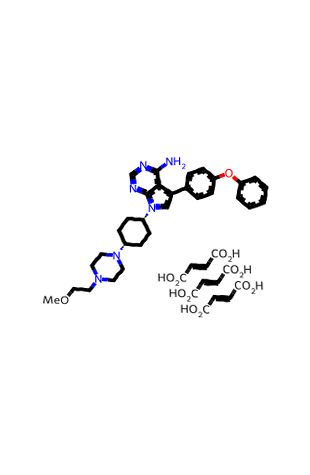 COCCN1CCN([C@H]2CC[C@@H](n3cc(-c4ccc(Oc5ccccc5)cc4)c4c(N)ncnc43)CC2)CC1.O=C(O)C=CC(=O)O.O=C(O)C=CC(=O)O.O=C(O)C=CC(=O)O